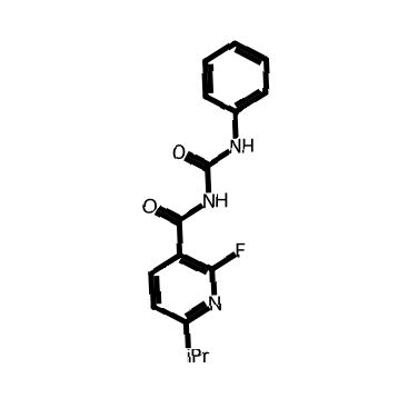 CC(C)c1ccc(C(=O)NC(=O)Nc2ccccc2)c(F)n1